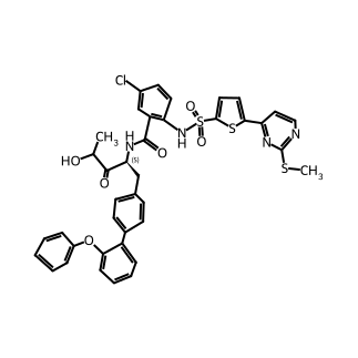 CSc1nccc(-c2ccc(S(=O)(=O)Nc3ccc(Cl)cc3C(=O)N[C@@H](Cc3ccc(-c4ccccc4Oc4ccccc4)cc3)C(=O)C(C)O)s2)n1